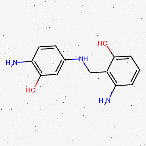 Nc1ccc(NCc2c(N)cccc2O)cc1O